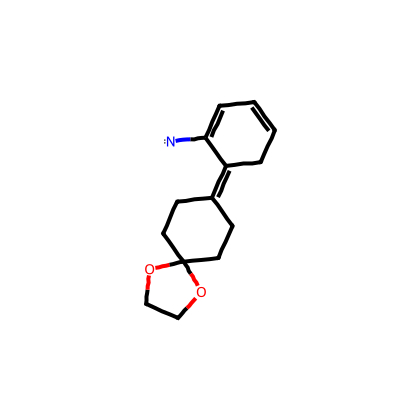 [N]C1=CC=CCC1=C1CCC2(CC1)OCCO2